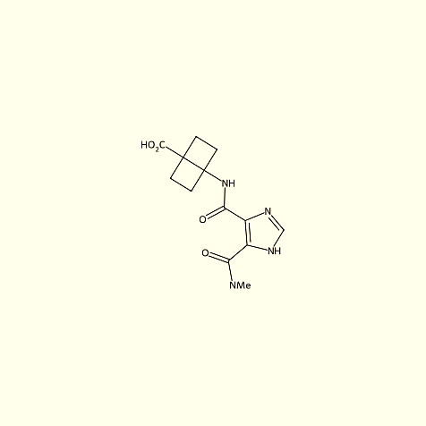 CNC(=O)c1[nH]cnc1C(=O)NC12CCC1(C(=O)O)CC2